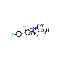 CCC[C@H](N[C@@H](c1ccc(-c2ccc(F)cc2)c(F)c1)C(F)(F)F)C(=O)O